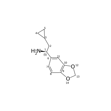 N[C@@H](CC1CC1)c1ccc2c(c1)OCO2